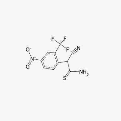 N#CC(C(N)=S)c1ccc([N+](=O)[O-])cc1C(F)(F)F